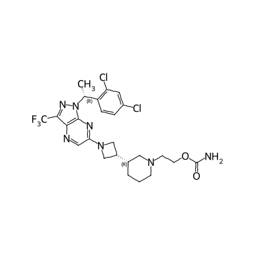 C[C@H](c1ccc(Cl)cc1Cl)n1nc(C(F)(F)F)c2ncc(N3CC([C@H]4CCCN(CCOC(N)=O)C4)C3)nc21